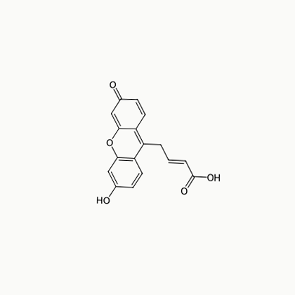 O=C(O)C=CCc1c2ccc(=O)cc-2oc2cc(O)ccc12